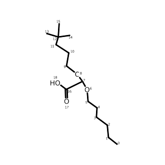 CCCCCCOC(CCCCC(C)(C)C)C(=O)O